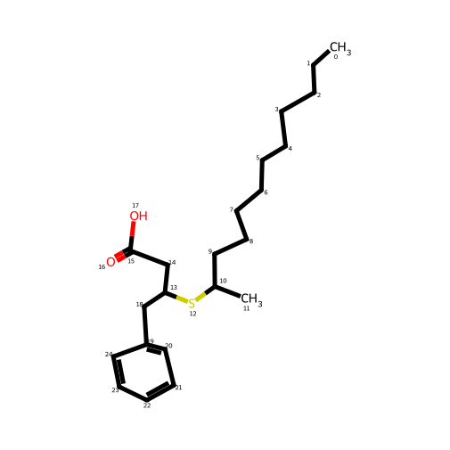 CCCCCCCCCCC(C)SC(CC(=O)O)Cc1ccccc1